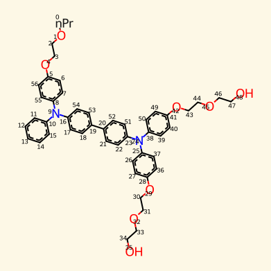 CCCOCCOc1ccc(N(c2ccccc2)c2ccc(-c3ccc(N(c4ccc(OCCOCCO)cc4)c4ccc(OCCOCCO)cc4)cc3)cc2)cc1